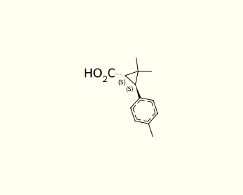 Cc1ccc([C@H]2[C@H](C(=O)O)C2(C)C)cc1